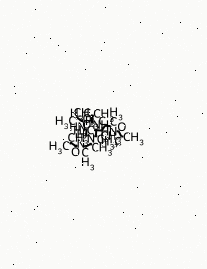 CC(C)C(=O)NCCN(C(C)C(C)NC(=O)C(C)C)C(C)C(C)(NC(=O)C(C)C)C(C)C(C)C(C)NC(=O)C(C)C